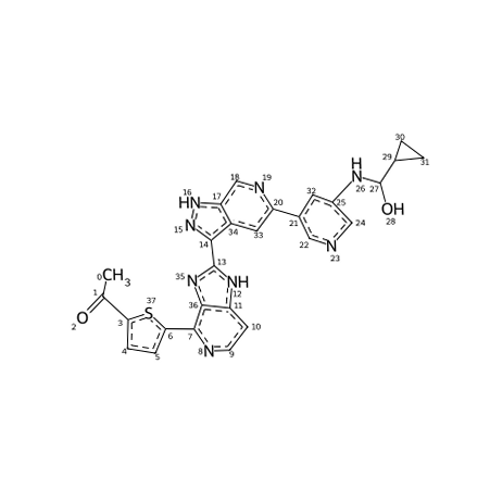 CC(=O)c1ccc(-c2nccc3[nH]c(-c4n[nH]c5cnc(-c6cncc(NC(O)C7CC7)c6)cc45)nc23)s1